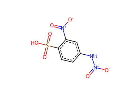 O=[N+]([O-])Nc1ccc(S(=O)(=O)O)c([N+](=O)[O-])c1